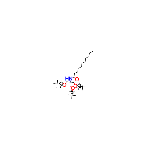 CCCCCCCCCCCC(=O)NC(CO[Si](C)(C)C(C)(C)C)(CO[Si](C)(C)C(C)(C)C)CO[Si](C)(C)C(C)(C)C